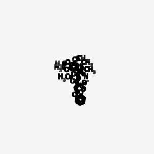 CCC(C)C(C#N)(CCC(OC(C)=O)C(CC1Oc2ccccc2O1)[N+](=O)[O-])c1cc(OC)c(OC)c(OC)c1